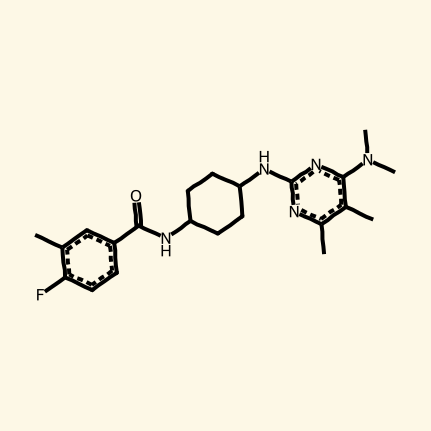 Cc1cc(C(=O)NC2CCC(Nc3nc(C)c(C)c(N(C)C)n3)CC2)ccc1F